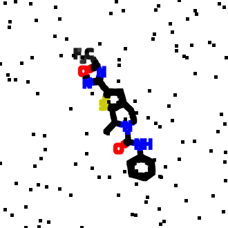 CC1c2sc(-c3noc(C(F)(F)F)n3)cc2CCN1C(=O)Nc1ccccc1